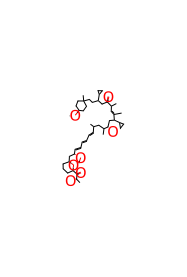 COC(/C=C/C=C/C=C/C(C)CC(C)C(=O)CC(/C(C)=C/C(C)C(=O)CC(CCC1(C)CCC(OC)CC1)C1CC1)C1CC1)CC1CCCC(C(=O)C(C)=O)O1